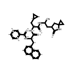 N#CC(CC1CC2(CC2)NC1=O)NC(=O)C(CC1CC1)NC(=O)C(Cc1cccc2ccccc12)NC(=O)c1cnccn1